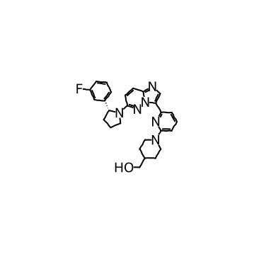 OCC1CCN(c2cccc(-c3cnc4ccc(N5CCC[C@@H]5c5cccc(F)c5)nn34)n2)CC1